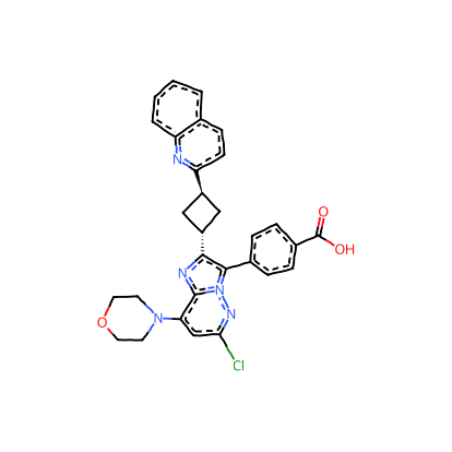 O=C(O)c1ccc(-c2c([C@H]3C[C@H](c4ccc5ccccc5n4)C3)nc3c(N4CCOCC4)cc(Cl)nn23)cc1